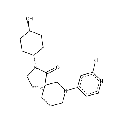 O=C1N([C@H]2CC[C@H](O)CC2)CC[C@]12CCCN(c1ccnc(Cl)c1)C2